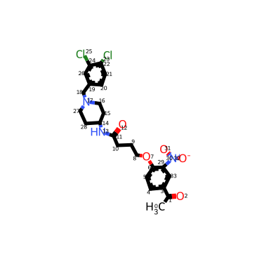 CC(=O)c1ccc(OCCCC(=O)NC2CCN(Cc3ccc(Cl)c(Cl)c3)CC2)c([N+](=O)[O-])c1